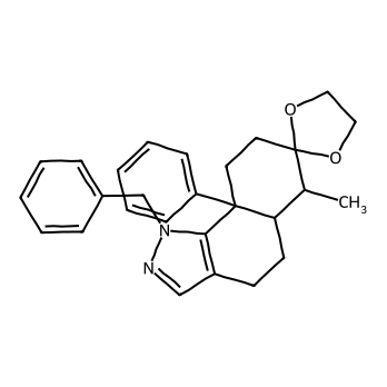 CC1C2CCc3cnn(Cc4ccccc4)c3C2(c2ccccc2)CCC12OCCO2